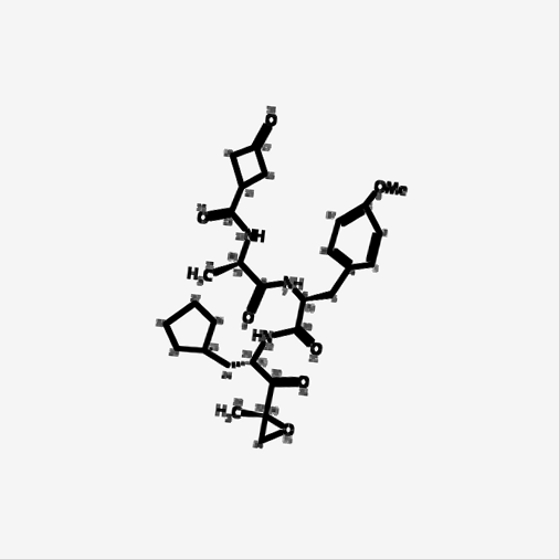 COc1ccc(C[C@H](NC(=O)[C@@H](C)NC(=O)C2CC(=O)C2)C(=O)N[C@@H](CC2CCCC2)C(=O)[C@@]2(C)CO2)cc1